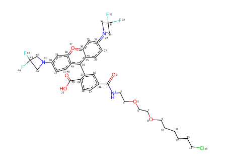 O=C(NCCOCCOCCCCCCCl)c1ccc(C(=O)O)c(-c2c3ccc(=[N+]4CC(F)(F)C4)cc-3oc3cc(N4CC(F)(F)C4)ccc23)c1